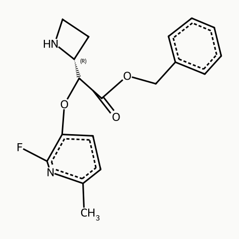 Cc1ccc(OC(C(=O)OCc2ccccc2)[C@H]2CCN2)c(F)n1